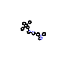 c1ccc(-c2c3ccccc3c(-c3ccccc3)c3cc(-c4cccc(-c5ccc(-c6ccc7c(c6)c6cccnc6n7-c6ccccc6)cn5)n4)ccc23)cc1